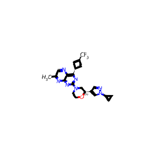 Cc1cnc2c(n1)nc(N1CCO[C@@H](c3cnn(C4CC4)c3)C1)nc2[C@H]1C[C@H](C(F)(F)F)C1